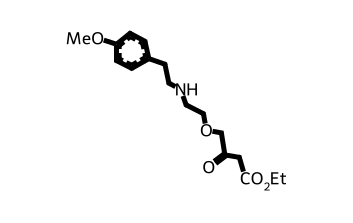 CCOC(=O)CC(=O)COCCNCCc1ccc(OC)cc1